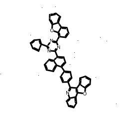 c1ccc(-c2nc(-c3ccc(-c4ccc(-c5nc6ccccc6c6oc7ccccc7c56)cc4)c4ccccc34)nc(-c3cccc4c3oc3ccccc34)n2)cc1